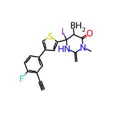 BC1C(=O)N(C)C(=C)NC1(I)c1cc(-c2ccc(F)c(C#C)c2)cs1